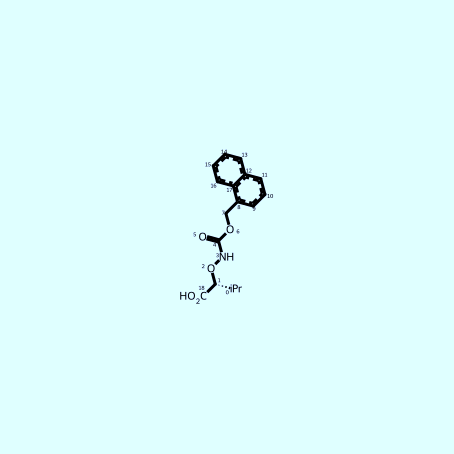 CC(C)[C@@H](ONC(=O)OCc1cccc2ccccc12)C(=O)O